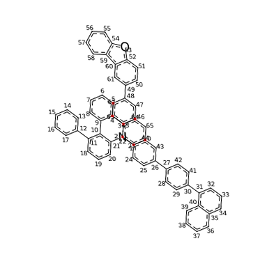 c1ccc(-c2ccccc2-c2c(-c3ccccc3)cccc2N(c2ccc(-c3ccc(-c4cccc5ccccc45)cc3)cc2)c2ccc(-c3ccc4oc5ccccc5c4c3)cc2)cc1